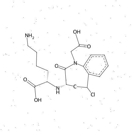 NCCCC[C@H](N[C@H]1CC(Cl)c2ccccc2N(CC(=O)O)C1=O)C(=O)O